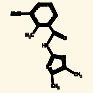 CNc1cccc(C(=O)Nc2nc(C)c(C)s2)c1C